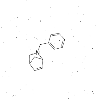 C1=CC2CC1CN2Cc1ccccc1